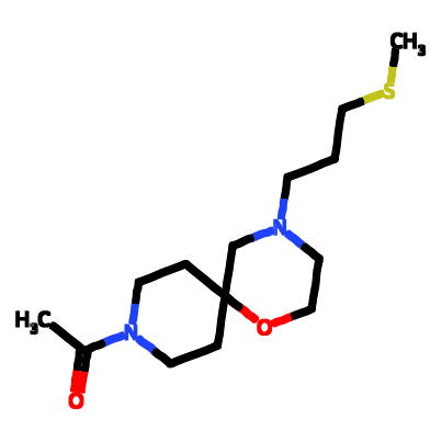 CSCCCN1CCOC2(CCN(C(C)=O)CC2)C1